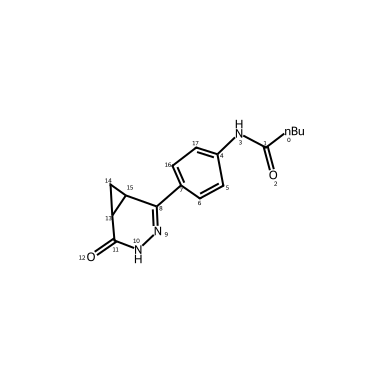 CCCCC(=O)Nc1ccc(C2=NNC(=O)C3CC23)cc1